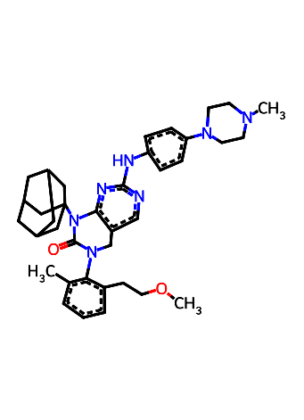 COCCc1cccc(C)c1N1Cc2cnc(Nc3ccc(N4CCN(C)CC4)cc3)nc2N(C23CC4CC(CC(C4)C2)C3)C1=O